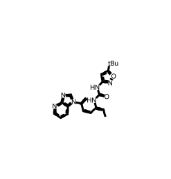 C=C(/C=C\C(=C/C)NC(=O)Nc1cc(C(C)(C)C)on1)n1cnc2ncccc21